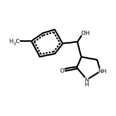 Cc1ccc(C(O)C2CNNC2=O)cc1